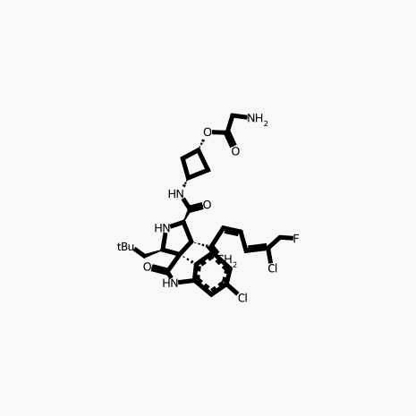 C=C(/C=C\C=C(\Cl)CF)[C@H]1[C@H](C(=O)N[C@H]2C[C@@H](OC(=O)CN)C2)N[C@H](CC(C)(C)C)[C@]12C(=O)Nc1cc(Cl)ccc12